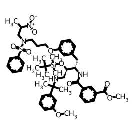 COC(=O)c1cccc(C(=O)N[C@@H](Cc2cccc(OCCCN(CC(C)[N+](=O)[O-])S(=O)(=O)c3ccccc3)c2)[C@@H](CNC(C)(C)c2cccc(OC)c2)O[Si](C)(C)C(C)(C)C)c1